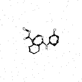 O=NC(=O)c1cnc(Nc2cccc(Cl)c2)c2c1CCCC2